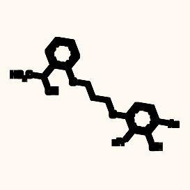 CCCc1c(OCCCOc2ccccc2C(O)C(=O)O)ccc(C(C)=O)c1O